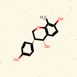 Cc1c(O)ccc2c1OC[C@@H](c1ccc(O)cc1)[C@H]2O